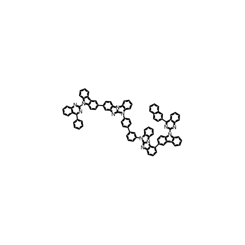 c1ccc(-c2nc(-n3c4ccccc4c4cc(-c5ccc6c(c5)nc5n(-c7ccc(-c8cccc(-n9c%10ccccc%10n%10c%11c(-c%12ccc%13c(c%12)c%12ccccc%12n%13-c%12nc(-c%13ccc%14ccccc%14c%13)c%13ccccc%13n%12)cccc%11nc9%10)c8)cc7)c7ccccc7n65)ccc43)nc3ccccc23)cc1